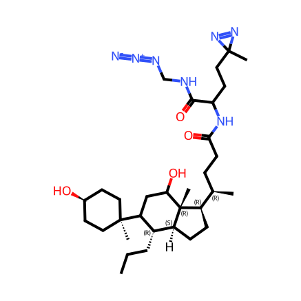 CCC[C@@H]1C([C@]2(C)CC[C@H](O)CC2)CC(O)[C@]2(C)[C@@H]([C@H](C)CCC(=O)NC(CCC3(C)N=N3)C(=O)NCN=[N+]=[N-])CC[C@@H]12